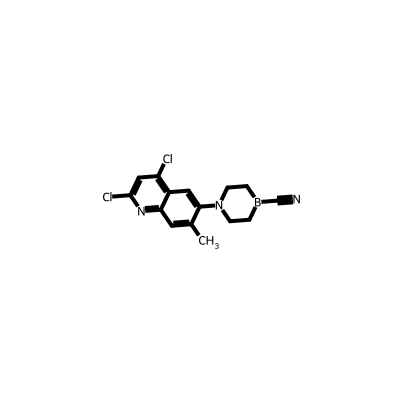 Cc1cc2nc(Cl)cc(Cl)c2cc1N1CCB(C#N)CC1